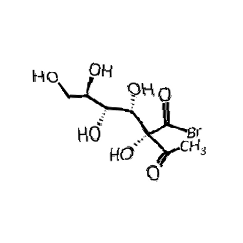 CC(=O)[C@](O)(C(=O)Br)[C@@H](O)[C@H](O)[C@H](O)CO